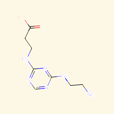 NCCNc1ncnc(NCCC(=O)O)n1